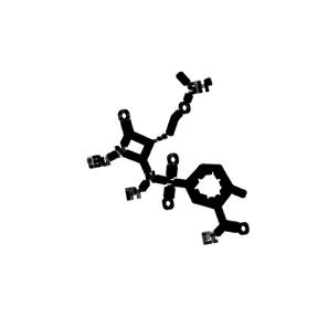 CCC(=O)c1cc(S(=O)(=O)N(C(C)C)C2[C@@H](CCO[SiH](C)C)C(=O)N2C(C)(C)C)ccc1C